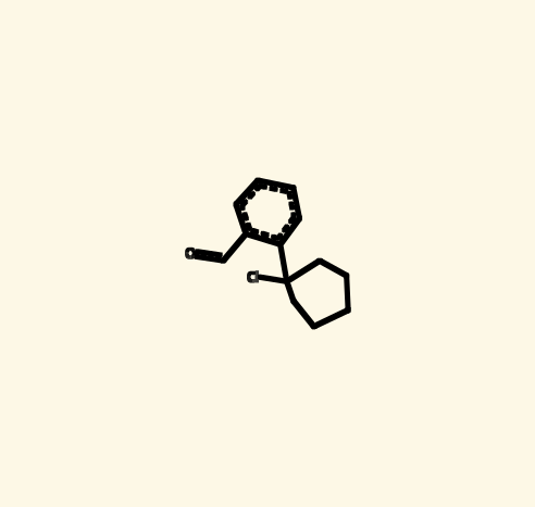 O=Cc1ccccc1C1(Cl)CCCCC1